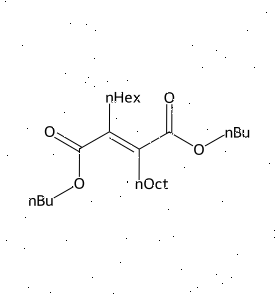 CCCCCCCCC(C(=O)OCCCC)=C(CCCCCC)C(=O)OCCCC